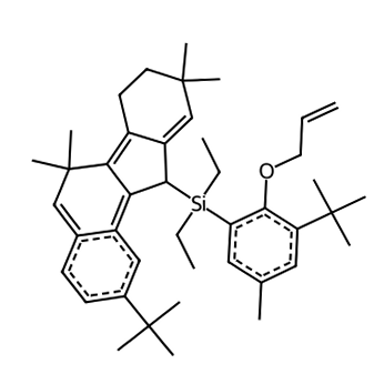 C=CCOc1c(C(C)(C)C)cc(C)cc1[Si](CC)(CC)C1C2=CC(C)(C)CCC2=C2C1=c1cc(C(C)(C)C)ccc1=CC2(C)C